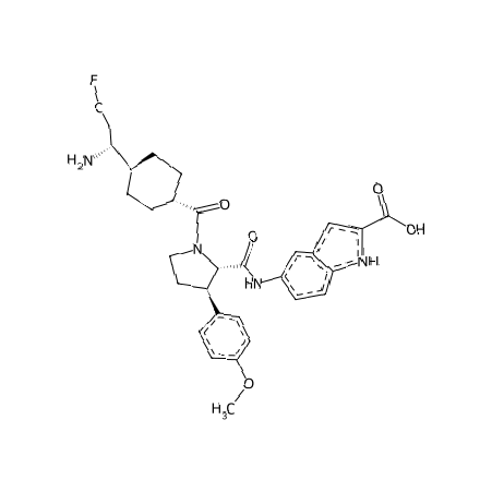 COc1ccc([C@H]2CCN(C(=O)[C@H]3CC[C@H]([C@H](N)CCF)CC3)[C@@H]2C(=O)Nc2ccc3[nH]c(C(=O)O)cc3c2)cc1